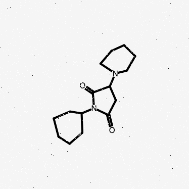 O=C1CC(N2CCCCC2)C(=O)N1C1CCCCC1